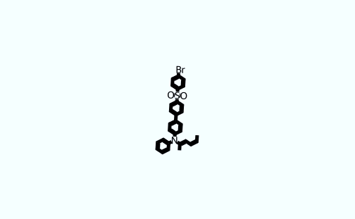 C/C=C\C=C(/C)N(c1ccccc1)c1ccc(-c2ccc(S(=O)(=O)c3ccc(Br)cc3)cc2)cc1